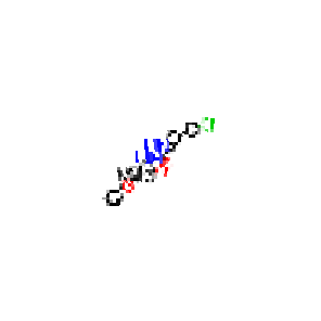 COC(=O)C(Cc1ccc(OCc2ccccc2)cc1)NC(=O)c1cc2cc(-c3ccc(Cl)cc3)ccc2[nH]1